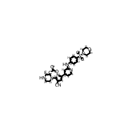 N#Cc1cc(-c2ccnc(Nc3ccc(S(=O)(=O)N4CCOCC4)cc3)c2)n(OC(=O)C(F)(F)F)c1N1CCNCC1